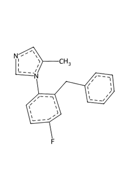 Cc1cncn1-c1ccc(F)cc1Cc1ccccc1